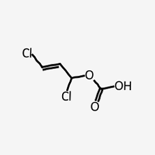 O=C(O)OC(Cl)C=CCl